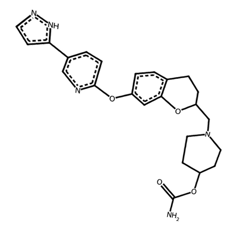 NC(=O)OC1CCN(CC2CCc3ccc(Oc4ccc(-c5ccn[nH]5)cn4)cc3O2)CC1